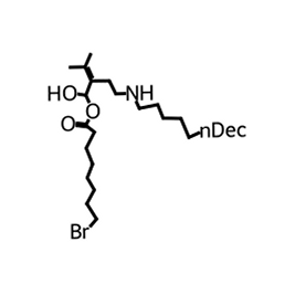 CCCCCCCCCCCCCCCNCCC(=C(C)C)C(O)OC(=O)CCCCCCCBr